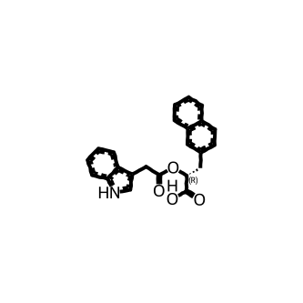 O=C(Cc1c[nH]c2ccccc12)O[C@H](Cc1ccc2ccccc2c1)C(=O)O